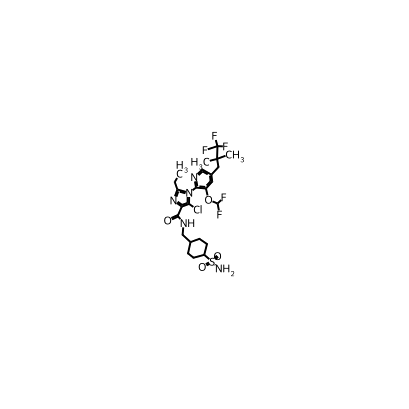 CCc1nc(C(=O)NCC2CCC(S(N)(=O)=O)CC2)c(Cl)n1-c1ncc(CC(C)(C)C(F)(F)F)cc1OC(F)F